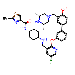 CC(C)c1nc(C(=O)N[C@H]2CC[C@H](NCc3cc(F)cnc3Oc3cccc(-c4ccc(O)c(CN5C[C@@H](C)N[C@@H](C)C5)c4)c3)CC2)cs1